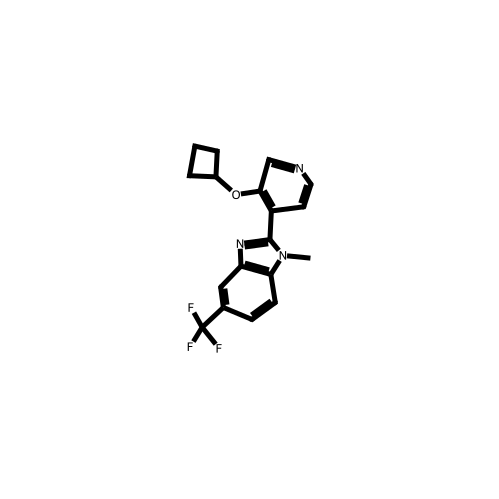 Cn1c(-c2ccncc2OC2CCC2)nc2cc(C(F)(F)F)ccc21